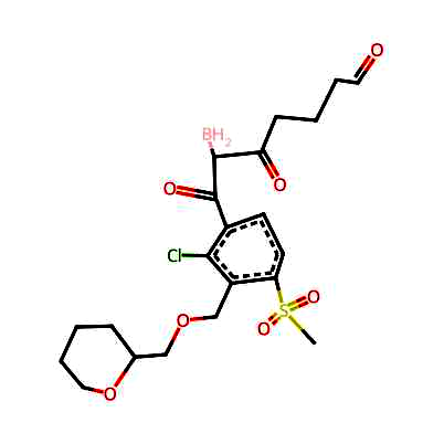 BC(C(=O)CCCC=O)C(=O)c1ccc(S(C)(=O)=O)c(COCC2CCCCO2)c1Cl